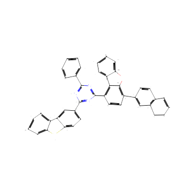 C1=Cc2ccc(-c3ccc(-c4nc(-c5ccccc5)nc(-c5ccc6sc7ccccc7c6c5)n4)c4c3oc3ccccc34)cc2CC1